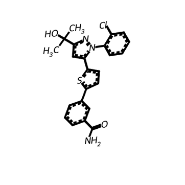 CC(C)(O)c1cc(-c2ccc(-c3cccc(C(N)=O)c3)s2)n(-c2ccccc2Cl)n1